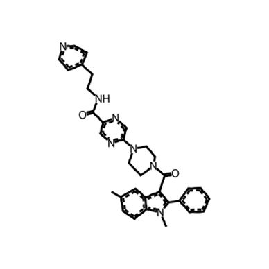 Cc1ccc2c(c1)c(C(=O)N1CCN(c3cnc(C(=O)NCCc4ccncc4)cn3)CC1)c(-c1ccccc1)n2C